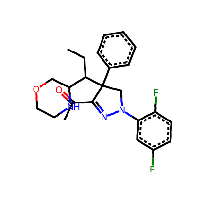 CCC(C1COCCN1)C1(c2ccccc2)CN(c2cc(F)ccc2F)N=C1C(C)=O